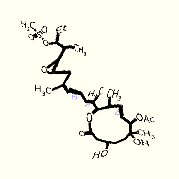 CCC(OS(C)(=O)=O)C(C)C1OC1CC(C)/C=C/C=C(\C)C1OC(=O)CC(O)CCC(C)(O)C(OC(C)=O)/C=C/C1C